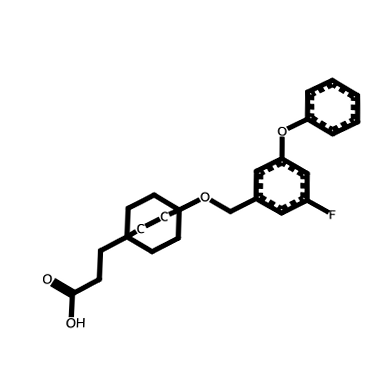 O=C(O)CCC12CCC(OCc3cc(F)cc(Oc4ccccc4)c3)(CC1)CC2